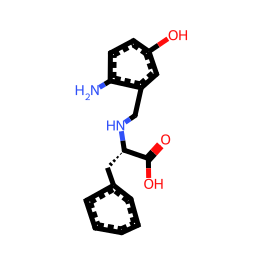 Nc1ccc(O)cc1CN[C@@H](Cc1ccccc1)C(=O)O